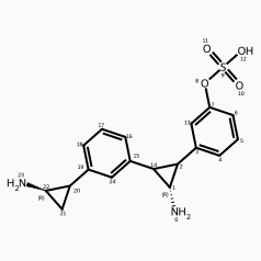 N[C@H]1C(c2cccc(OS(=O)(=O)O)c2)C1c1cccc(C2C[C@H]2N)c1